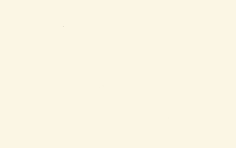 CCC=CCCc1ccc(-c2ccc(F)cc2F)cc1